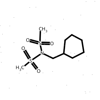 CS(=O)(=O)N(CC1CCCCC1)S(C)(=O)=O